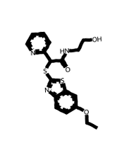 CCOc1ccc2nc(SC(C(=O)NCCO)c3ccccn3)sc2c1